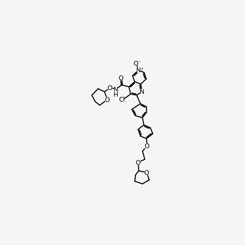 O=C(NOC1CCCCO1)c1c(Cl)c(-c2ccc(-c3ccc(OCCOC4CCCCO4)cc3)cc2)nc2cc[n+]([O-])cc12